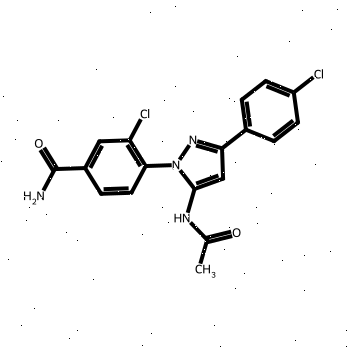 CC(=O)Nc1cc(-c2ccc(Cl)cc2)nn1-c1ccc(C(N)=O)cc1Cl